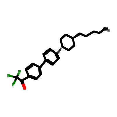 CCCCC[C@H]1CC[C@H](c2ccc(-c3ccc(C(=O)C(F)(F)F)cc3)cc2)CC1